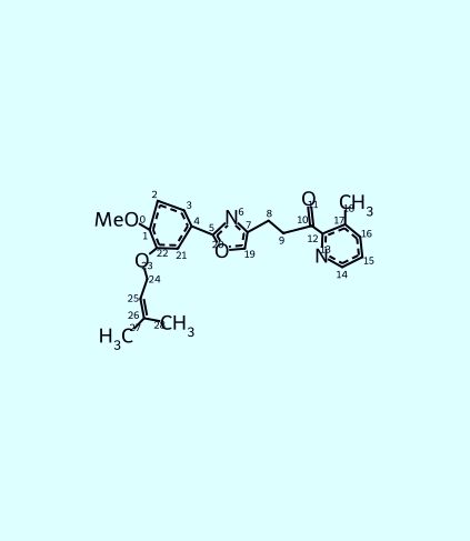 COc1ccc(-c2nc(CCC(=O)c3ncccc3C)co2)cc1OCC=C(C)C